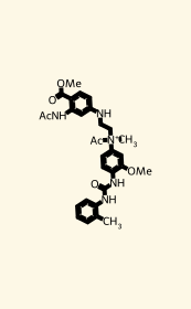 COC(=O)c1ccc(NCC[N+](C)(C(C)=O)c2ccc(NC(=O)Nc3ccccc3C)c(OC)c2)cc1NC(C)=O